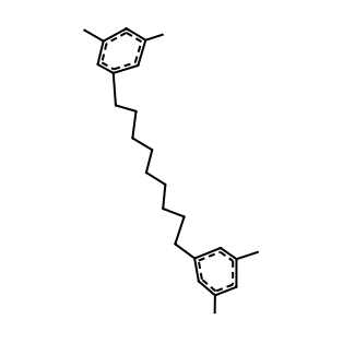 Cc1cc(C)cc(CCCCCCCCCc2cc(C)cc(C)c2)c1